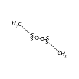 CCCCCCCCCCSC(=S)c1ccc(-c2ccc(C(=S)SCCCCCCCCCC)cc2)cc1